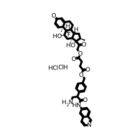 C[C@@H]1C[C@H]2[C@@H]3CCC4=CC(=O)C=C[C@]4(C)[C@@]3(F)[C@@H](O)C[C@]2(C)[C@@]1(O)C(=O)COC(=O)CCC(=O)OCc1ccc(C(CN)C(=O)Nc2ccc3cnccc3c2)cc1.Cl.Cl